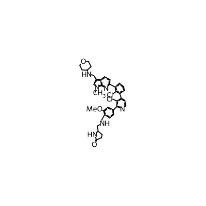 COc1cc(-c2nccc(-c3cccc(-c4ccc5c(CNC6CCOCC6)cn(C)c5n4)c3Cl)c2Cl)ccc1CNCC1CCC(=O)N1